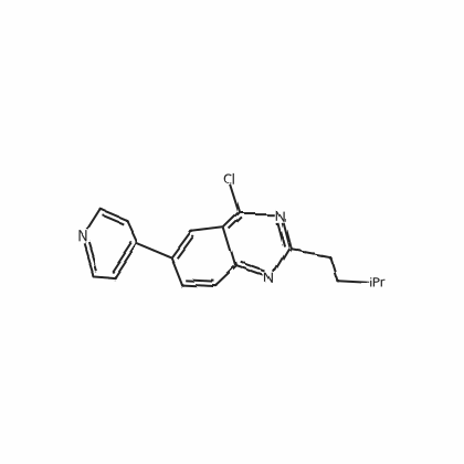 CC(C)CCc1nc(Cl)c2cc(-c3ccncc3)ccc2n1